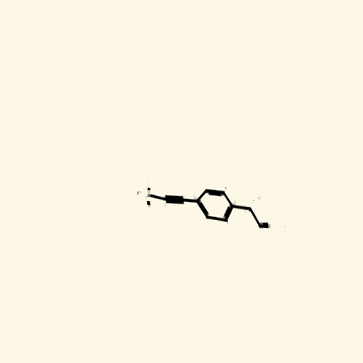 C[Si](C)(C)C#Cc1ccc([C@H](Br)C=O)cc1